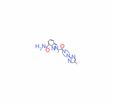 Cc1cnc(N2CCN(C(=O)C(C)n3cc4cccc(C(N)=O)c4n3)CC2)nc1